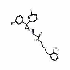 Cc1ncccc1CCCCNC(=O)/C=C/[C@@H]1CC1(c1cccc(F)c1)c1cccc(F)c1